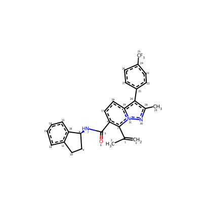 C=C(C)c1c(C(=O)N[C@H]2CCc3ccccc32)ccc2c(-c3ccc(C(F)(F)F)cc3)c(C)nn12